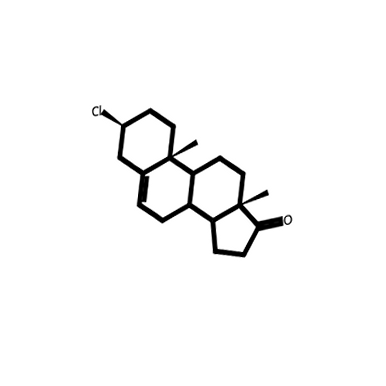 C[C@]12CC[C@H](Cl)CC1=CCC1C2CC[C@]2(C)C(=O)CCC12